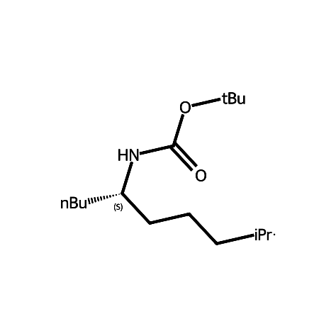 CCCC[C@@H](CCC[C](C)C)NC(=O)OC(C)(C)C